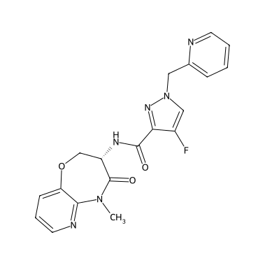 CN1C(=O)[C@@H](NC(=O)c2nn(Cc3ccccn3)cc2F)COc2cccnc21